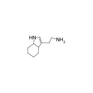 NCCC1=CNC2CCCCC12